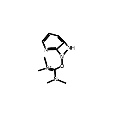 CN(C)C(On1[nH]c2cccnc21)=[N+](C)C